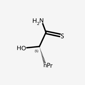 CCC[C@H](O)C(N)=S